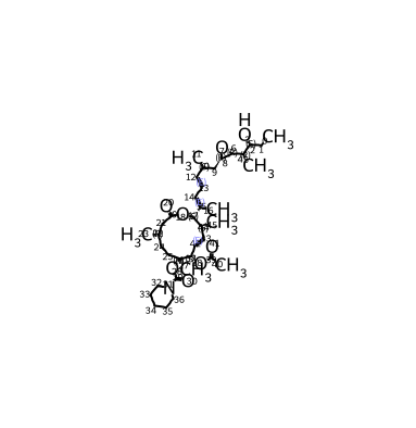 CC[C@H](O)[C@@H](C)[C@H]1O[C@@H]1C[C@H](C)/C=C/C=C(\C)[C@H]1OC(=O)C[C@H](C)CC[C@@](C)(OC(=O)N2CCCCC2)[C@@H](OC(C)=O)/C=C/[C@@H]1C